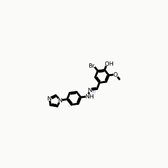 COc1cc(/C=N/Nc2ccc(-n3ccnc3)cc2)cc(Br)c1O